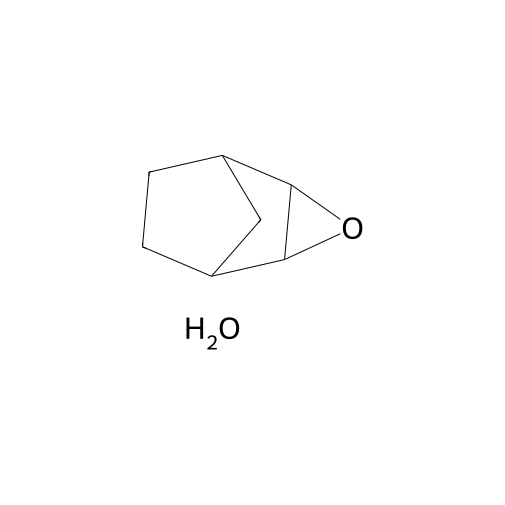 C1CC2CC1C1OC21.O